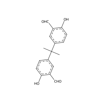 CC(C)(c1ccc(O)c(C=O)c1)c1ccc(O)c(C=O)c1